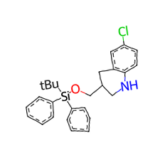 CC(C)(C)[Si](OCC1CNc2ccc(Cl)cc2C1)(c1ccccc1)c1ccccc1